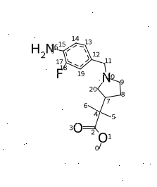 COC(=O)C(C)(C)C1CCN(Cc2ccc(N)c(F)c2)C1